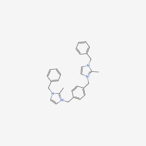 Cc1n(Cc2ccccc2)cc[n+]1Cc1ccc(C[n+]2ccn(Cc3ccccc3)c2C)cc1